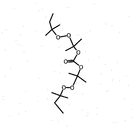 CCC(C)(C)OOC(C)(C)OC(=O)OC(C)(C)OOC(C)(C)CC